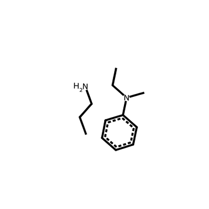 CCCN.CCN(C)c1ccccc1